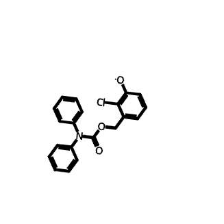 [O]c1cccc(COC(=O)N(c2ccccc2)c2ccccc2)c1Cl